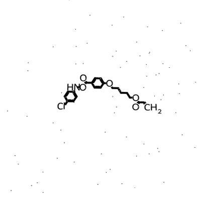 C=CC(=O)OCCCCCOc1ccc(C(=O)ONc2ccc(Cl)cc2)cc1